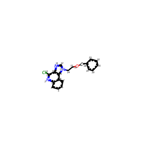 Clc1nc2ccccc2c2c1ncn2CCOCc1ccccc1